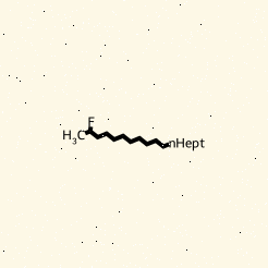 [CH2]CCCCCCCCCCCCCCCC(C)F